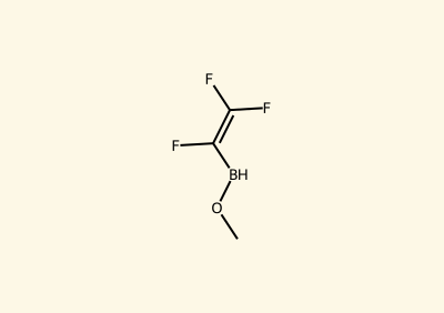 COBC(F)=C(F)F